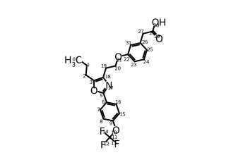 CCCc1oc(-c2ccc(OC(F)(F)F)cc2)nc1CCOc1cccc(CC(=O)O)c1